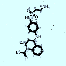 CCC(=O)N1c2ccccc2[C@H](Nc2ccc(NS(=O)(=O)CCN)cc2)C[C@@H]1C